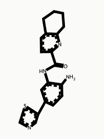 Nc1ccc(-c2cncs2)cc1NC(=O)c1ccc2c(n1)CCCC2